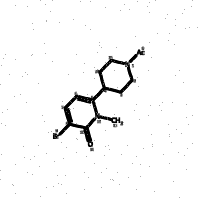 CC(=O)N1CCC(c2ccc(Br)c(=O)n2C)CC1